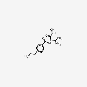 CCCc1ccc(C(=O)N[C@H](C(=O)NO)[C@@H](C)N)cc1